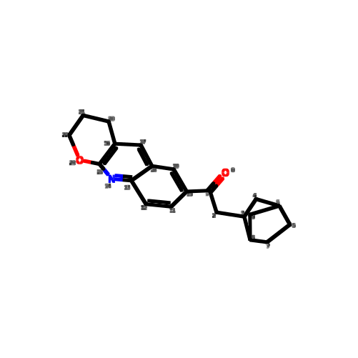 O=C(CC1CC2CCC1C2)c1ccc2nc3c(cc2c1)CCCO3